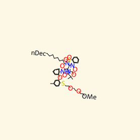 CCCCCCCCCCCCCCCCCCN1C(C(C(=O)Nc2ccccc2Oc2cc(C)ccc2SCCOCCOCCOC)N2C(=O)OC(C)(C)C2=O)=Nc2ccccc2S1(=O)=O